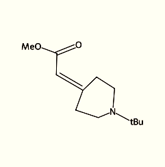 COC(=O)C=C1CCN(C(C)(C)C)CC1